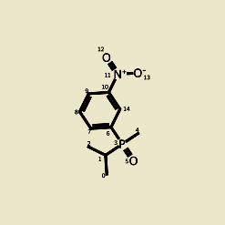 CC(C)P(C)(=O)c1cccc([N+](=O)[O-])c1